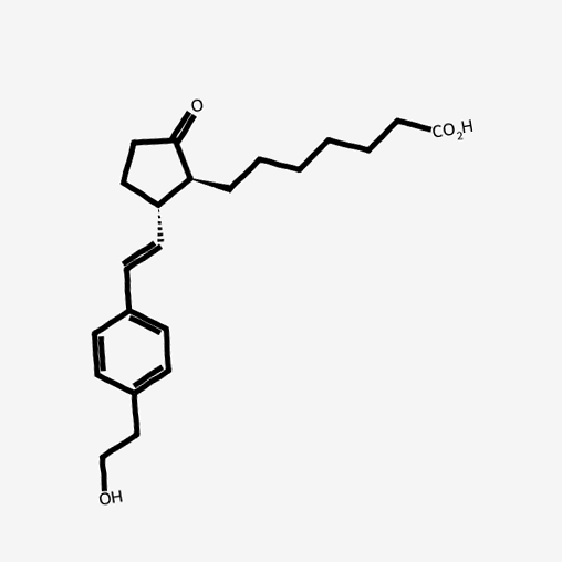 O=C(O)CCCCCC[C@@H]1C(=O)CC[C@H]1C=Cc1ccc(CCO)cc1